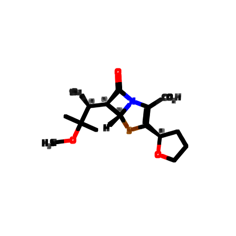 CC(C)(C)[C@@H]([C@H]1C(=O)N2C(C(=O)O)=C([C@H]3CCCO3)S[C@H]12)C(C)(C)O[SiH3]